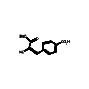 CC(C)COC(=O)C(C#N)=Cc1ccc(C(=O)O)cc1